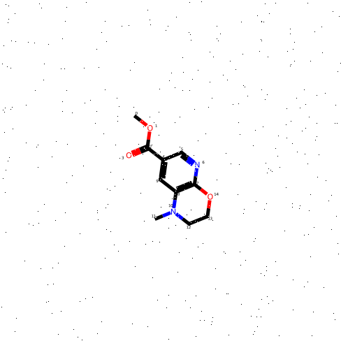 COC(=O)c1cnc2c(c1)N(C)CCO2